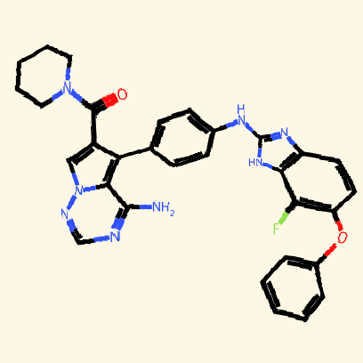 Nc1ncnn2cc(C(=O)N3CCCCC3)c(-c3ccc(Nc4nc5ccc(Oc6ccccc6)c(F)c5[nH]4)cc3)c12